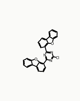 Clc1nc(-c2cccc3c2oc2ccccc23)nc(-c2cccc3c2oc2ccccc23)n1